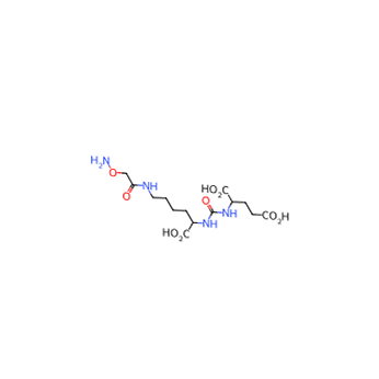 NOCC(=O)NCCCCC(NC(=O)NC(CCC(=O)O)C(=O)O)C(=O)O